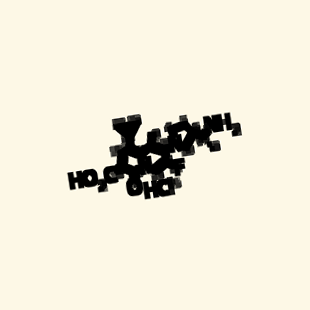 Cc1c(N2CC[C@@H]([C@@H](C)N)C2)c(F)cn2c(=O)c(C(=O)O)cc(C3CC3)c12.Cl